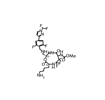 COC(=O)NC1C(=O)NC[C@H](CNCc2c(F)cc(-c3ccn(C(F)F)n3)cc2F)OC(=O)[C@H](CCCCN)NC(F)(F)C1(C)C